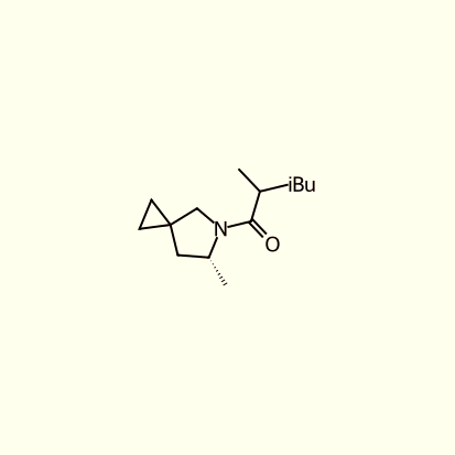 CCC(C)C(C)C(=O)N1CC2(CC2)C[C@H]1C